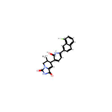 CC1CN2C(=O)NC(=O)C2=CC1c1ccc(-c2ccc3cccc(F)c3c2)[nH]c1=O